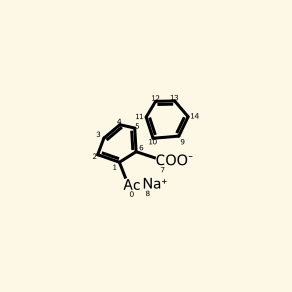 CC(=O)c1ccccc1C(=O)[O-].[Na+].c1ccccc1